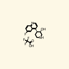 O=C(O)C(F)(F)F.O[C@H]1CNCC[C@H]1c1ccnc2ccc(F)cc12